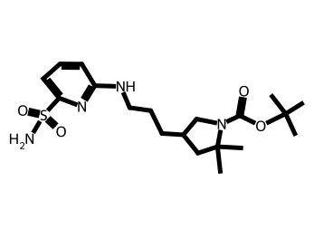 CC(C)(C)OC(=O)N1CC(CCCNc2cccc(S(N)(=O)=O)n2)CC1(C)C